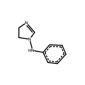 C1=NCCN1Nc1ccccc1